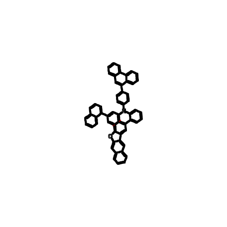 c1cc(-c2cccc3ccccc23)cc(N(c2ccc(-c3cc4ccccc4c4ccccc34)cc2)c2ccccc2-c2ccc3oc4cc5ccccc5cc4c3c2)c1